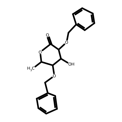 CC1OC(=O)C(OCc2ccccc2)C(O)C1OCc1ccccc1